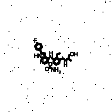 CCc1c(CNC(C)CO)cccc1Nc1c(OC(N)=O)cnc2[nH]c(-c3ccc(F)cc3)cc12